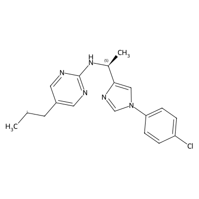 C[CH]Cc1cnc(N[C@@H](C)c2cn(-c3ccc(Cl)cc3)cn2)nc1